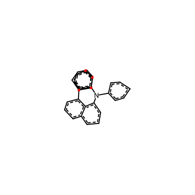 c1ccc(-c2cccc3cccc(N(c4ccccc4)c4ccccc4)c23)cc1